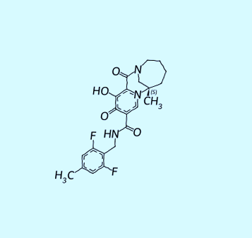 Cc1cc(F)c(CNC(=O)c2cn3c(c(O)c2=O)C(=O)N2CCCC[C@@]3(C)C2)c(F)c1